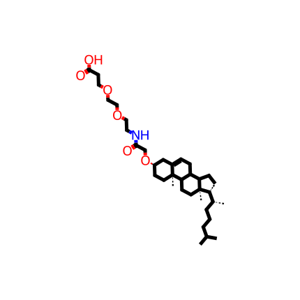 CC(C)CCC[C@@H](C)[C@H]1CCC2C3CC=C4C[C@@H](OCC(=O)NCCOCCOCCC(=O)O)CC[C@]4(C)C3CC[C@@]21C